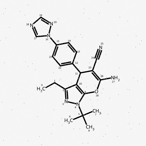 CCc1nn(C(C)(C)C)c2c1C(c1ccc(-n3cncn3)cc1)C(C#N)=C(N)O2